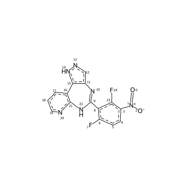 O=[N+]([O-])c1ccc(F)c(C2=Nc3cn[nH]c3-c3cccnc3N2)c1F